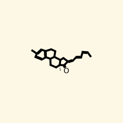 C\C=C/C=C/C=C1\CC2C3CCc4cc(C)ccc4C3CC[C@]2(C)C1=O